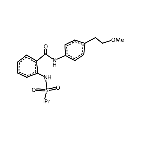 COCCc1ccc(NC(=O)c2ccccc2NS(=O)(=O)C(C)C)cc1